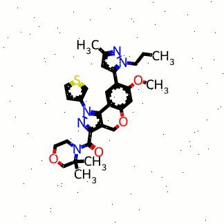 CCCn1nc(C)cc1-c1cc2c(cc1OC)OCc1c(C(=O)N3CCOCC3(C)C)nn(-c3ccsc3)c1-2